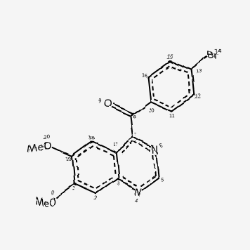 COc1cc2ncnc(C(=O)c3ccc(Br)cc3)c2cc1OC